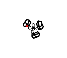 O=P(OC12CC3CC(CC(C3)C1)C2)(OC12CC3CC(CC(C3)C1)C2)OC12CC3CC(CC(C3)C1)C2